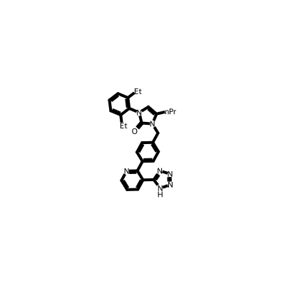 CCCc1cn(-c2c(CC)cccc2CC)c(=O)n1Cc1ccc(-c2ncccc2-c2nnn[nH]2)cc1